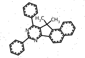 CC1(C)c2c(-c3ccccc3)nc(-c3ccccc3)nc2-c2ccc3ccccc3c21